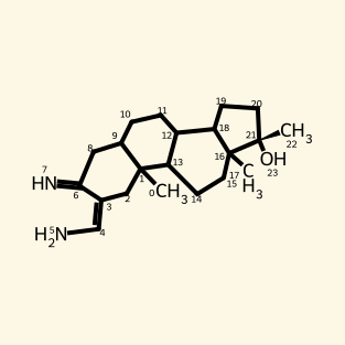 CC12C/C(=C/N)C(=N)CC1CCC1C2CCC2(C)C1CC[C@]2(C)O